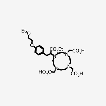 CCOCCOc1ccc(CC(C(=O)OCC)N2CCN(CC(=O)O)CCN(CC(=O)O)CCN(CC(=O)O)CC2)cc1